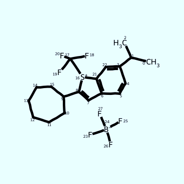 CC(C)c1ccc2cc(C3CCCCCC3)[s+](C(F)(F)F)c2c1.F[B-](F)(F)F